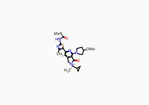 CNC(=O)Nc1nc(C)c(-c2cc3c(c(N4CCC(OC)CC4)n2)C(=O)N([C@@H](C)C2CC2)C3)s1